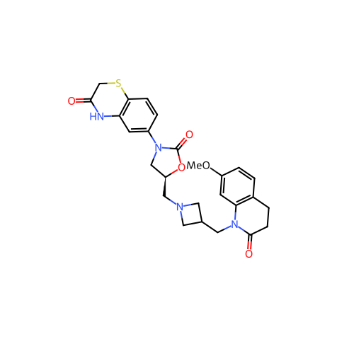 COc1ccc2c(c1)N(CC1CN(C[C@H]3CN(c4ccc5c(c4)NC(=O)CS5)C(=O)O3)C1)C(=O)CC2